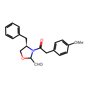 COc1ccc(CC(=O)N2C(C=O)OC[C@H]2Cc2ccccc2)cc1